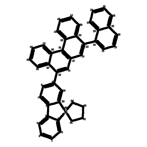 c1ccc2c(c1)-c1ccc(-c3cc4cc(-c5cccc6ccccc56)c5ccccc5c4c4ccccc34)cc1[Si]21CCCC1